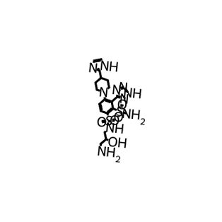 NCC(O)CNS(=O)(=O)c1ccc(N2CCC(c3ncc[nH]3)CC2)c(-c2nn[nH]n2)c1S(N)(=O)=O